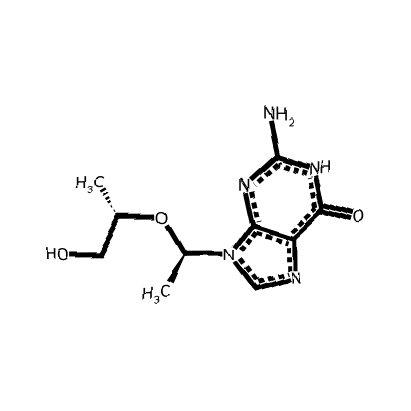 C[C@@H](CO)O[C@H](C)n1cnc2c(=O)[nH]c(N)nc21